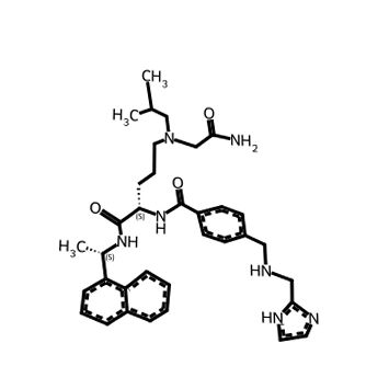 CC(C)CN(CCC[C@H](NC(=O)c1ccc(CNCc2ncc[nH]2)cc1)C(=O)N[C@@H](C)c1cccc2ccccc12)CC(N)=O